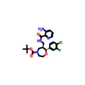 CC(C)(C)OC(=O)N1CCO[C@@H](c2ccc(Cl)c(F)c2)[C@H](CNC(=O)c2ncccc2N)C1